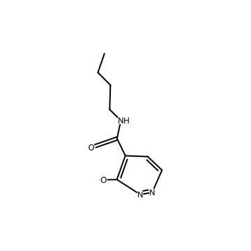 CCCCNC(=O)c1ccnnc1[O]